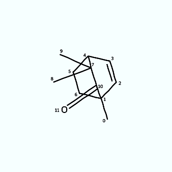 CC12C=CC(CC1)C(C)(C)C2=O